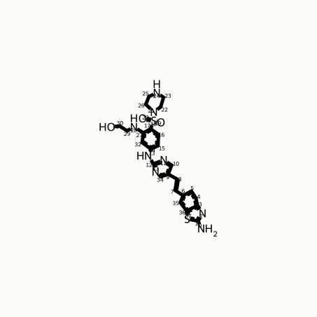 Nc1nc2ccc(/C=C/c3cnc(Nc4ccc(S(=O)(=O)N5CCNCC5)c(NCCO)c4)nc3)cc2s1